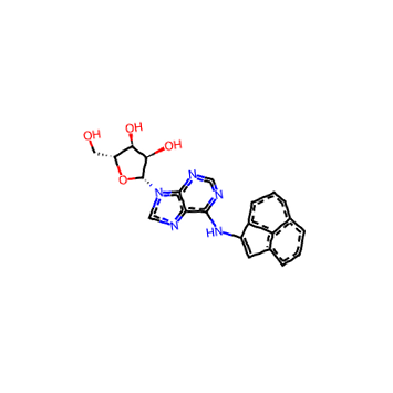 OC[C@H]1O[C@@H](n2cnc3c(NC4=Cc5cccc6cccc4c56)ncnc32)[C@H](O)[C@@H]1O